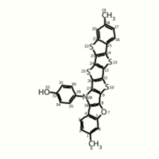 Cc1ccc2c(c1)oc1c3sc4c5sc6c7ccc(C)cc7sc6c5sc4c3n(-c3ccc(O)cc3)c21